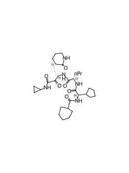 CCC[C@H](NC(=O)[C@H](NC(=O)C1CCCCC1)C1CCCC1)C(=O)N[C@@H](C[C@@H]1CCCNC1=O)C(=O)C(=O)NC1CC1